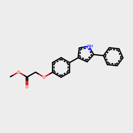 COC(=O)COc1ccc(-c2c[nH]c(-c3ccccc3)c2)cc1